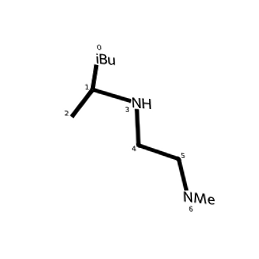 CCC(C)C(C)NCCNC